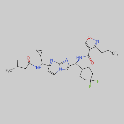 C[C@H](CC(=O)NC(c1ccn2cc([C@@H](NC(=O)c3conc3CCC(F)(F)F)C3CCC(F)(F)CC3)nc2n1)C1CC1)C(F)(F)F